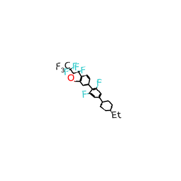 CCC1CCC(c2cc(F)c(-c3ccc4c(c3)COC(C(F)(F)C(F)(F)F)C4(F)F)c(F)c2)CC1